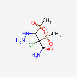 CS(=O)(=O)C(NN)C(Cl)(C(N)=O)S(C)(=O)=O